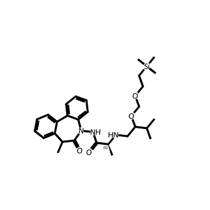 CC1C(=O)N(NC(=O)[C@H](C)NCC(OCOCC[Si](C)(C)C)C(C)C)c2ccccc2-c2ccccc21